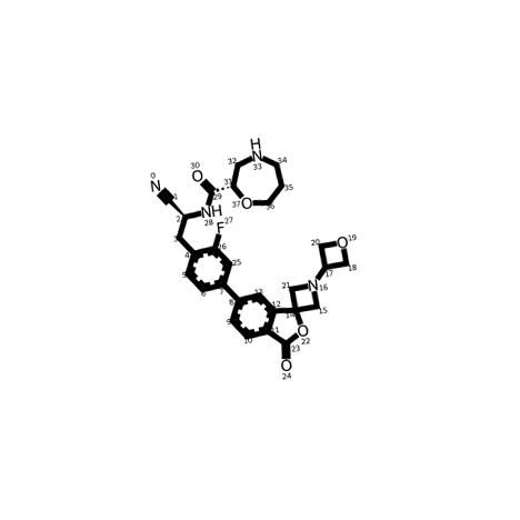 N#C[C@H](Cc1ccc(-c2ccc3c(c2)C2(CN(C4COC4)C2)OC3=O)cc1F)NC(=O)[C@@H]1CNCCCO1